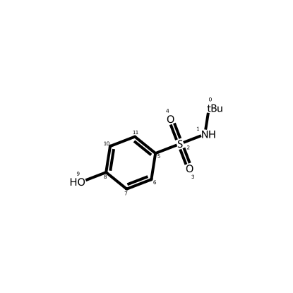 CC(C)(C)NS(=O)(=O)c1ccc(O)cc1